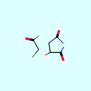 O=C(O)CCl.O=C1CC(O)C(=O)N1